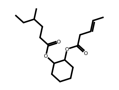 CC=CCC(=O)OC1CCCCC1OC(=O)CCC(C)CC